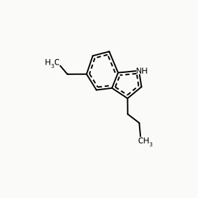 CCCc1c[nH]c2ccc(CC)cc12